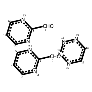 O=Cc1ncccn1.O=Cc1ncccn1.c1cnnnn1